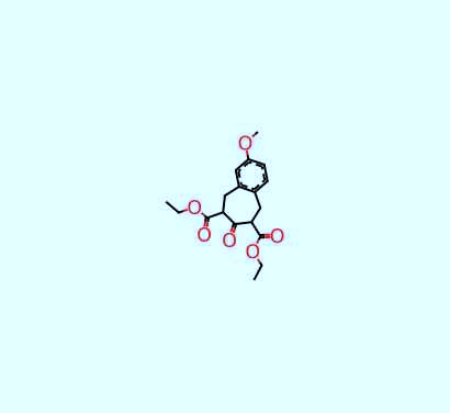 CCOC(=O)C1Cc2ccc(OC)cc2CC(C(=O)OCC)C1=O